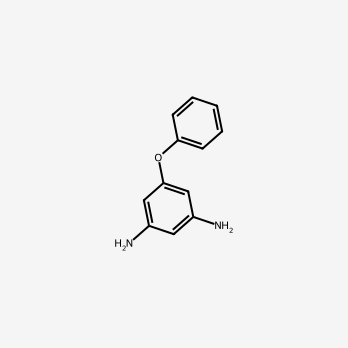 Nc1cc(N)cc(Oc2ccccc2)c1